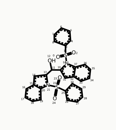 O=S(=O)(c1ccccc1)n1c(C(O)c2cc3ccccc3n2S(=O)(=O)c2ccccc2)cc2ccccc21